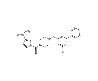 CC(=O)c1ccn(C(=O)N2CCN(Cc3cc(Cl)cc(-c4cncnc4)c3)CC2)n1